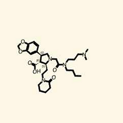 CCCCN(CCCN(C)C)C(=O)CN1C[C@H](c2ccc3c(c2)OCO3)[C@@H](C(=O)O)[C@@H]1CCN1CCCCC1=O